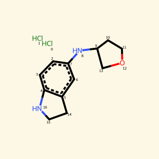 Cl.Cl.c1cc2c(cc1NC1CCOC1)CCN2